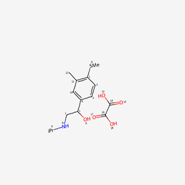 CSc1ccc(C(O)CNC(C)C)cc1C.O=C(O)C(=O)O